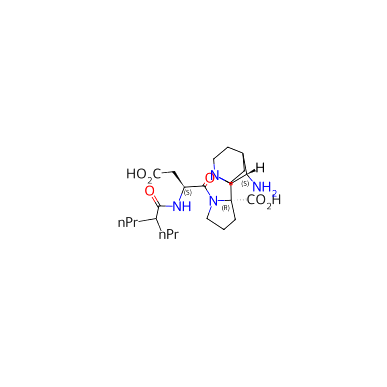 CCCC(CCC)C(=O)N[C@@H](CC(=O)O)C(=O)N1CCC[C@]1(C(=O)O)C1[C@@H](N)C2CCN1CC2